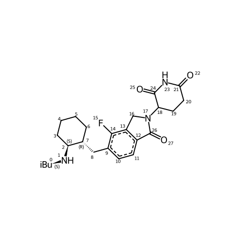 CC[C@H](C)N[C@H]1CCCC[C@@H]1Cc1ccc2c(c1F)CN(C1CCC(=O)NC1=O)C2=O